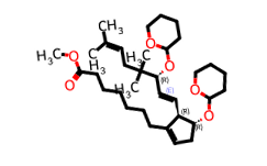 COC(=O)CCCCCCC1=CC[C@@H](OC2CCCCO2)[C@@H]1/C=C/[C@@H](OC1CCCCO1)C(C)(C)CC=C(C)C